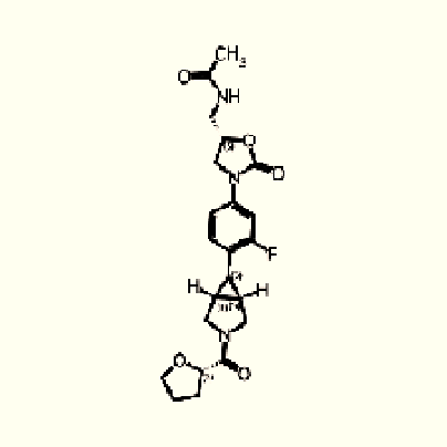 CC(=O)NC[C@H]1CN(c2ccc([C@H]3[C@@H]4CN(C(=O)[C@@H]5CCCO5)C[C@@H]43)c(F)c2)C(=O)O1